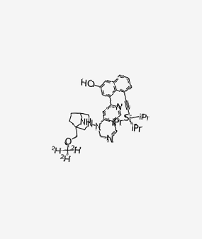 [2H]C([2H])([2H])OCC12CCC(CN(N3CN=Cc4cnc(-c5cc(O)cc6cccc(C#C[Si](C(C)C)(C(C)C)C(C)C)c56)cc43)C1)N2